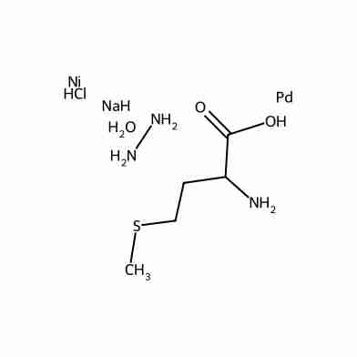 CSCCC(N)C(=O)O.Cl.NN.O.[NaH].[Ni].[Pd]